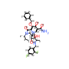 CC1C(O)[C@@]2(CC[C@H](C)N3C[C@H]2n2cc(C(N)=O)c(=O)c(OCc4ccccc4)c2C3=O)ON1Cc1ccc(F)cc1F